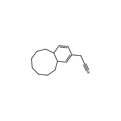 N#CCC1=CC2CCCCCCCC2C=C1